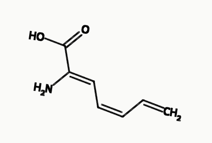 C=C/C=C\C=C(/N)C(=O)O